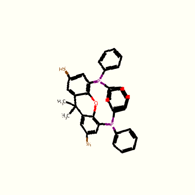 CC1(C)c2cc(S)cc(P(c3ccccc3)c3ccccc3)c2Oc2c(P(c3ccccc3)c3ccccc3)cc(S)cc21